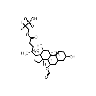 C[C@H](CCC(=O)OCC(F)(F)S(=O)(=O)O)[C@H]1CC[C@H]2[C@@H]3[C@H](OC=O)CC4C[C@H](O)CC[C@]4(C)[C@H]3C[C@H](O)[C@]12C